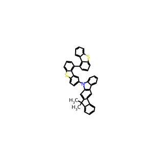 CC1(C)c2ccccc2-c2cc3c4ccccc4n(-c4ccc5sc6cccc(-c7cccc8sc9ccccc9c78)c6c5c4)c3cc21